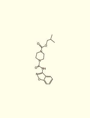 CC(C)COC(=O)N1CCN(C(=O)Nc2noc3ccccc23)CC1